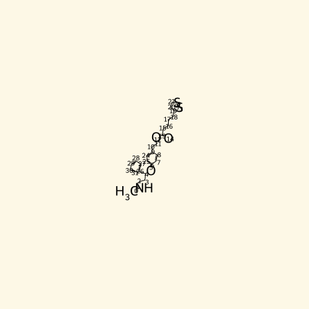 CNCCC(Oc1ccc(CCOC(=O)CCCCC2CCSS2)cc1)c1ccccc1